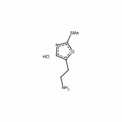 CSc1ncc(CCN)o1.Cl